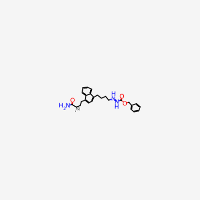 C[C@@H](CCc1ccc(CCCCNNC(=O)OCc2ccccc2)c2ccccc12)C(N)=O